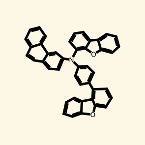 c1ccc2c(c1)ccc1ccc(N(c3ccc(-c4cccc5oc6ccccc6c45)cc3)c3cccc4c3oc3ccccc34)cc12